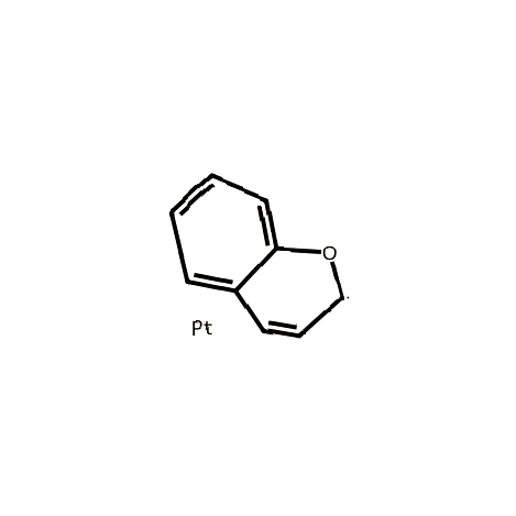 [CH]1C=Cc2ccccc2O1.[Pt]